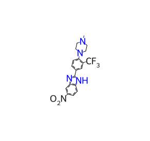 CN1CCN(c2ccc(-c3nc4cc([N+](=O)[O-])ccc4[nH]3)cc2C(F)(F)F)CC1